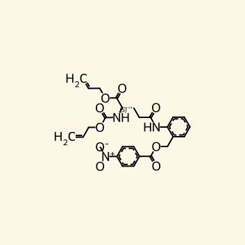 C=CCOC(=O)N[C@@H](CCC(=O)Nc1ccccc1COC(=O)c1ccc([N+](=O)[O-])cc1)C(=O)OCC=C